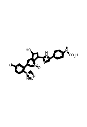 CN(C(=O)O)c1ccc(-c2cnc(C3CC(O)c4cc(-c5cc(Cl)ccc5-n5cnnn5)c[n+]([O-])c43)[nH]2)cc1